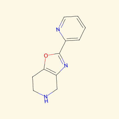 c1ccc(-c2nc3c(o2)CCNC3)nc1